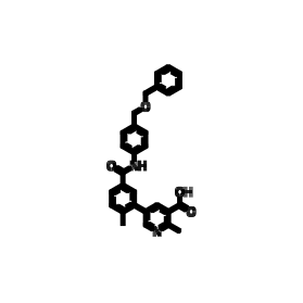 Cc1ccc(C(=O)Nc2ccc(COCc3ccccc3)cc2)cc1-c1cnc(C)c(C(=O)O)c1